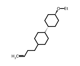 C=CCCC1CCC([C@H]2CC[C@H](OCC)CC2)CC1